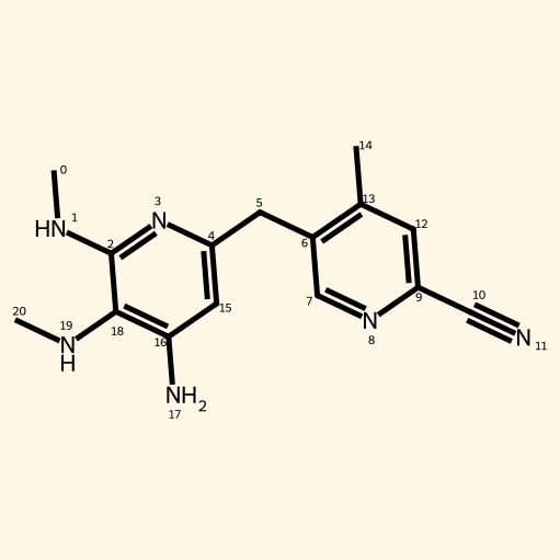 CNc1nc(Cc2cnc(C#N)cc2C)cc(N)c1NC